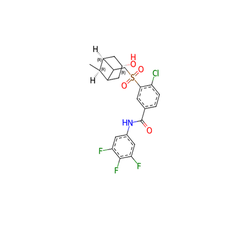 C[C@@H]1C2C[C@@H](O)C[C@H]1C2CS(=O)(=O)c1cc(C(=O)Nc2cc(F)c(F)c(F)c2)ccc1Cl